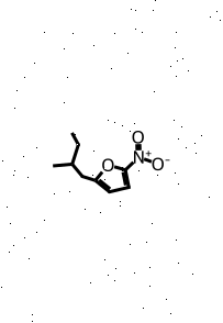 CCC(C)Cc1ccc([N+](=O)[O-])o1